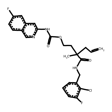 C=CCC(C)(CCOC(=O)Nc1cc2cc(F)ccc2cn1)C(=O)NCc1cccc(F)c1Cl